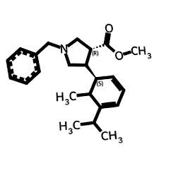 COC(=O)[C@H]1CN(Cc2ccccc2)CC1[C@H]1C=CC=C(C(C)C)C1C